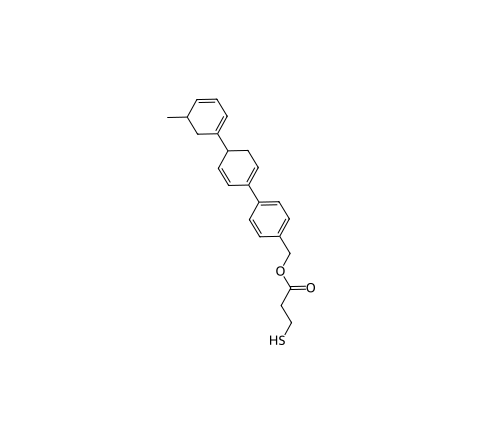 CC1C=CC=C(C2C=CC(c3ccc(COC(=O)CCS)cc3)=CC2)C1